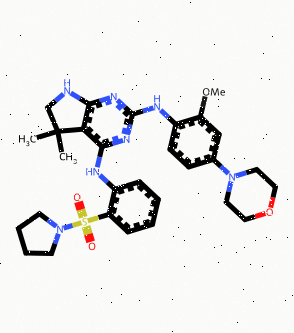 COc1cc(N2CCOCC2)ccc1Nc1nc2c(c(Nc3ccccc3S(=O)(=O)N3CCCC3)n1)C(C)(C)CN2